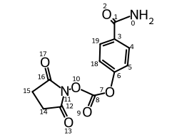 NC(=O)c1ccc(OC(=O)ON2C(=O)CCC2=O)cc1